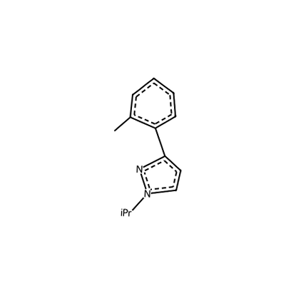 Cc1ccccc1-c1ccn(C(C)C)n1